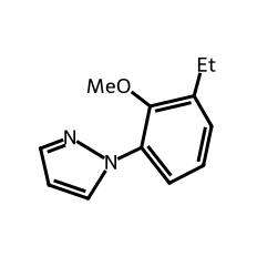 CCc1cccc(-n2cccn2)c1OC